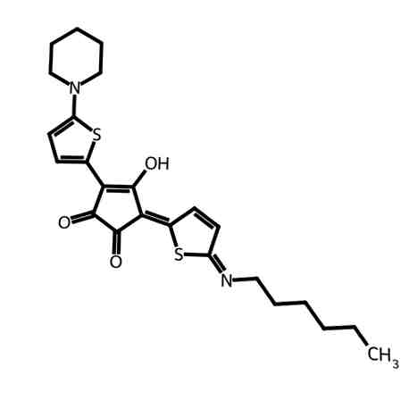 CCCCCC/N=C1C=C/C(=C2/C(=O)C(=O)C(c3ccc(N4CCCCC4)s3)=C2O)S\1